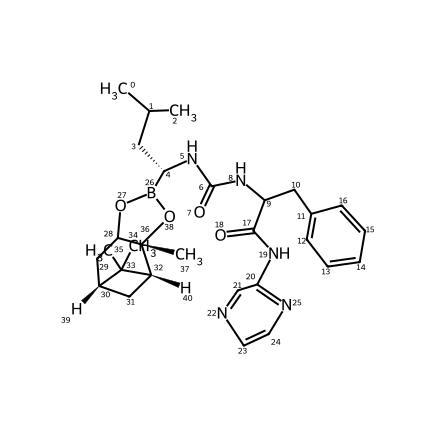 CC(C)C[C@H](NC(=O)NC(Cc1ccccc1)C(=O)Nc1cnccn1)B1OC2C[C@H]3C[C@H](C3(C)C)[C@@]2(C)O1